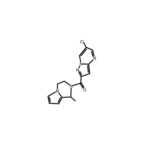 CC1c2cccn2CCN1C(=O)c1cc2ncc(Cl)cn2n1